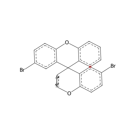 Brc1ccc2c(c1)C1(c3ccccc3O2)c2ccccc2Oc2ccc(Br)cc21